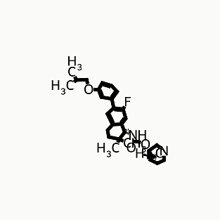 CC(C)COc1cccc(-c2cc3c(cc2F)[C@H](NC(=O)O[C@@H]2CN4CCC2CC4)C(C)(C)CC3)c1